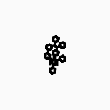 c1ccc(C(=C(c2ccccc2)c2cccc(-c3cccc(-c4nc(-c5ccccc5)nc(-c5ccccc5)n4)c3)c2)c2ccccc2)cc1